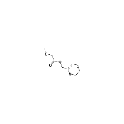 COCC(=O)OCc1ccccn1